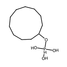 O[PH](O)(O)OC1CCCCCCCCCC1